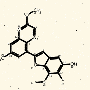 COc1cnc2c(-c3cc4cc(O)c(F)c(SI)c4o3)cc(C)cc2n1